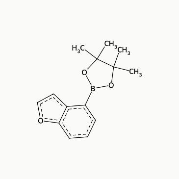 CC1(C)OB(c2cccc3occc23)OC1(C)C